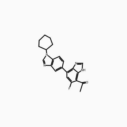 CC(=O)c1c(F)cc(-c2ccc3c(c2)ncn3C2CCCCC2)c2nc[nH]c12